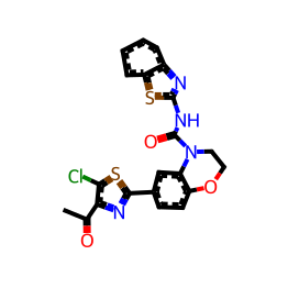 CC(=O)c1nc(-c2ccc3c(c2)N(C(=O)Nc2nc4ccccc4s2)CCO3)sc1Cl